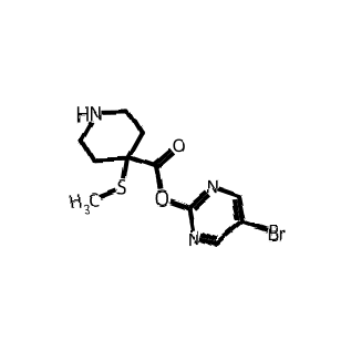 CSC1(C(=O)Oc2ncc(Br)cn2)CCNCC1